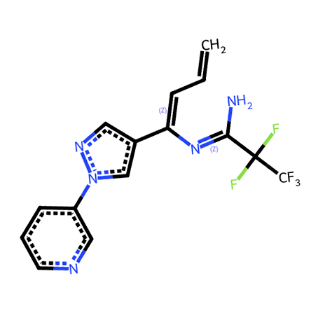 C=C/C=C(\N=C(/N)C(F)(F)C(F)(F)F)c1cnn(-c2cccnc2)c1